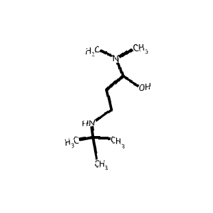 CN(C)C(O)CCNC(C)(C)C